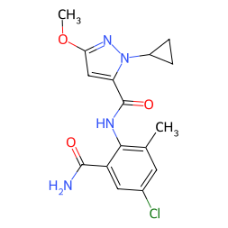 COc1cc(C(=O)Nc2c(C)cc(Cl)cc2C(N)=O)n(C2CC2)n1